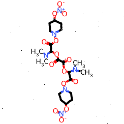 CN(C)C(OC(=O)C(=O)OC(C(=O)ON1CCC(O[N+](=O)[O-])CC1)N(C)C)C(=O)ON1CCC(O[N+](=O)[O-])CC1